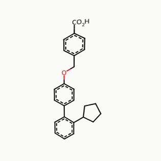 O=C(O)c1ccc(COc2ccc(-c3ccccc3C3CCCC3)cc2)cc1